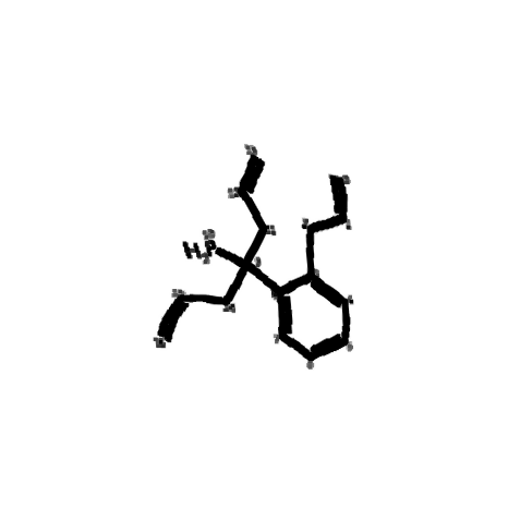 C=CCc1ccccc1C(P)(CC=C)CC=C